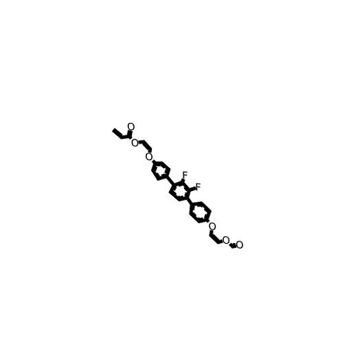 C=CC(=O)O/C=C\Oc1ccc(-c2ccc(-c3ccc(O/C=C\OC=O)cc3)c(F)c2F)cc1